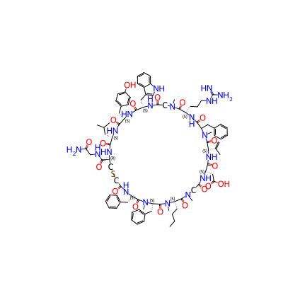 C=C(C)[C@@H]1NC(=O)[C@H](CC(=O)O)NC(=O)CN(C)C(=O)[C@H](CCCC)N(C)C(=O)[C@H](Cc2ccccc2)N(C)C(=O)[C@H](Cc2ccccc2)NC(=O)CSC[C@@H](C(=O)NCC(N)=O)NC(=O)[C@H](CC(C)C)NC(=O)[C@H](Cc2ccc(O)cc2)NC(=O)[C@H](Cc2c[nH]c3ccccc23)NC(=O)CN(C)C(=O)[C@H](CCCNC(=N)N)NC(=O)C(Cc2ccccc2)N(C)C1=O